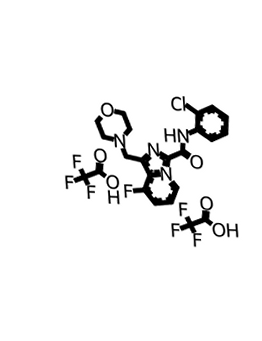 O=C(Nc1ccccc1Cl)c1nc(CN2CCOCC2)c2c(F)cccn12.O=C(O)C(F)(F)F.O=C(O)C(F)(F)F